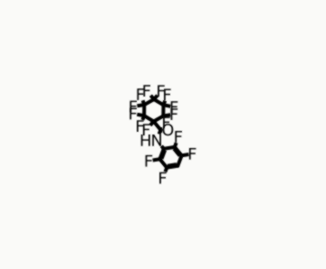 O=C(Nc1c(F)c(F)cc(F)c1F)C1(F)C(F)(F)C(F)(F)C(F)(F)C(F)(F)C1(F)F